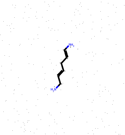 NC=CCC=CCN